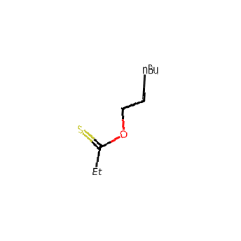 CCCCCCOC(=S)CC